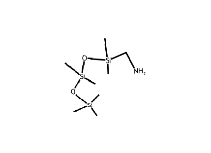 C[Si](C)(C)O[Si](C)(C)O[Si](C)(C)CN